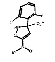 CCN(CC)C1=CC(C(=O)O)(c2c(F)cccc2Cl)NO1